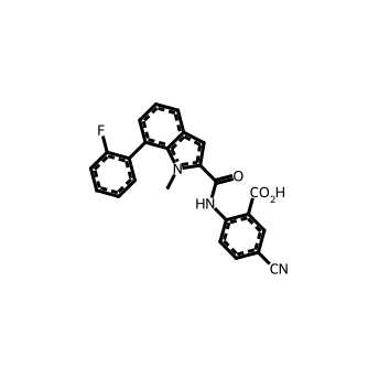 Cn1c(C(=O)Nc2ccc(C#N)cc2C(=O)O)cc2cccc(-c3ccccc3F)c21